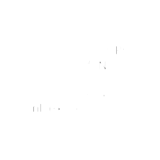 CCCCCCCc1cc[n+](C(C)C)cc1